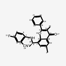 Cc1cc([C@@H](C)Nc2ccc(F)cc2C#N)c2oc(-c3ccccc3)c(C)c(=O)c2c1